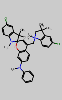 CN(c1ccccc1)c1ccc2c(c1)OC1(C=C2C[N+]2(C)CC(C)(C)c3cc(Cl)ccc32)N(C)c2ccc(Cl)cc2C1(C)C